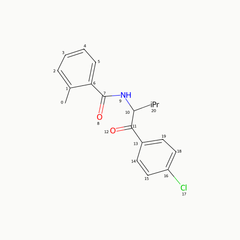 Cc1ccccc1C(=O)NC(C(=O)c1ccc(Cl)cc1)C(C)C